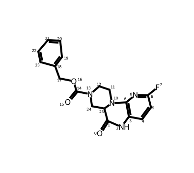 O=C1Nc2ccc(F)nc2N2CCN(C(=O)OCc3ccccc3)CC12